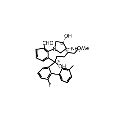 COCCCC[C@](O)(c1cccc(F)c1-c1cccc(C)c1)c1cccc(C=O)c1N1C[C@@H](N)[C@@H](O)C1